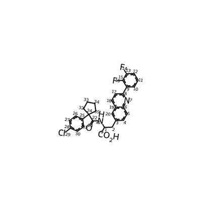 O=C(O)C(Cc1ccc2nc(-c3cccc(F)c3F)ccc2c1)NC(=O)C1(c2ccc(Cl)cc2)CCCC1